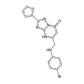 O=c1cc(CNc2ccc(Br)cc2)[nH]c2nc(-c3cccs3)nn12